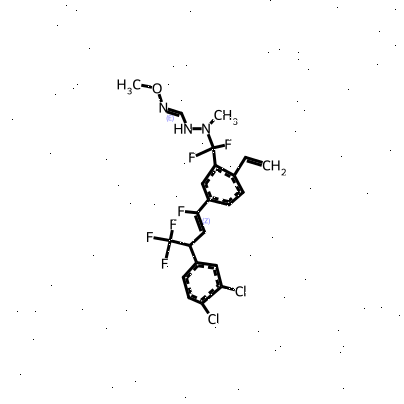 C=Cc1ccc(/C(F)=C/C(c2ccc(Cl)c(Cl)c2)C(F)(F)F)cc1C(F)(F)N(C)N/C=N/OC